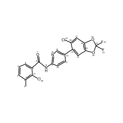 Cc1cccc(C(=O)Nc2ccc(-c3cc4c(cc3Cl)OC(F)(F)O4)cn2)c1Cl